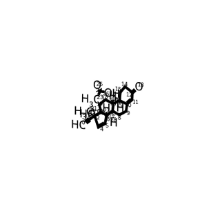 C#C[C@]1(O)C=C[C@H]2[C@@H]3CCC4=CC(=O)CC[C@@H]4[C@H]3CC[C@@]21CC.CC(=O)O